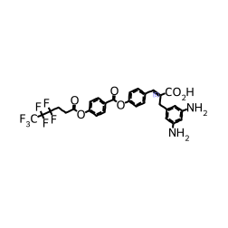 Nc1cc(N)cc(C/C(=C\c2ccc(OC(=O)c3ccc(OC(=O)CCC(F)(F)C(F)(F)C(F)(F)F)cc3)cc2)C(=O)O)c1